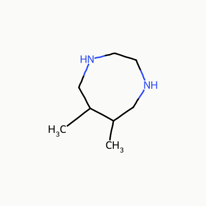 CC1CNCCNCC1C